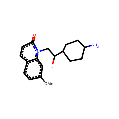 COc1ccc2ccc(=O)n(CC(O)C3CCC(N)CC3)c2c1